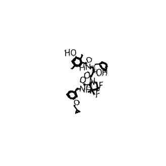 Cc1cc(O)c(C)c(C(=O)N[C@@H](Cc2ccccc2)[C@H](O)C(=O)N2CC(F)(F)C(C)(C)[C@H]2C(=O)NCc2cccc(OCC3CC3)c2)c1